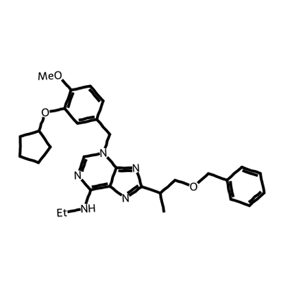 CCNc1ncn(Cc2ccc(OC)c(OC3CCCC3)c2)c2nc(C(C)COCc3ccccc3)nc1-2